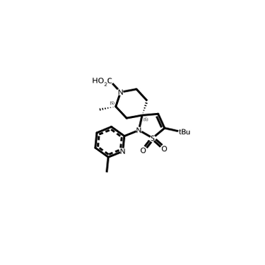 Cc1cccc(N2[C@@]3(C=C(C(C)(C)C)S2(=O)=O)CCN(C(=O)O)[C@@H](C)C3)n1